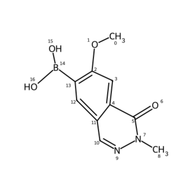 COc1cc2c(=O)n(C)ncc2cc1B(O)O